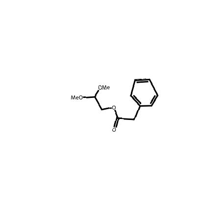 COC(COC(=O)Cc1ccccc1)OC